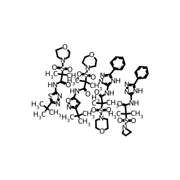 CC(C)(C(=O)Nc1nnc(-c2ccccc2)[nH]1)S(=O)(=O)N1CCC1.CC(C)(C(=O)Nc1nnc(-c2ccccc2)[nH]1)S(=O)(=O)N1CCOCC1.CC(C)(C)c1cc(NC(=O)C(C)(C)S(=O)(=O)N2CCOCC2)on1.CC(C)(C)c1nnc(NC(=O)C(C)(C)S(=O)(=O)N2CCOCC2)s1